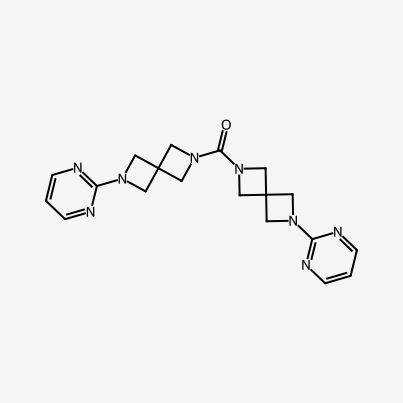 O=C(N1CC2(C1)CN(c1ncccn1)C2)N1CC2(C1)CN(c1ncccn1)C2